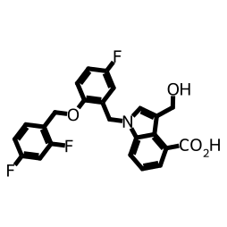 O=C(O)c1cccc2c1c(CO)cn2Cc1cc(F)ccc1OCc1ccc(F)cc1F